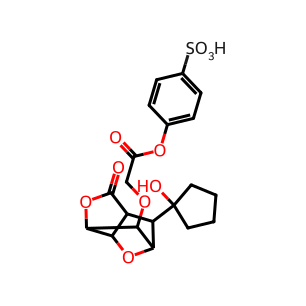 O=C(COC1C2OC(=O)C3C2OC1C3C1(O)CCCC1)Oc1ccc(S(=O)(=O)O)cc1